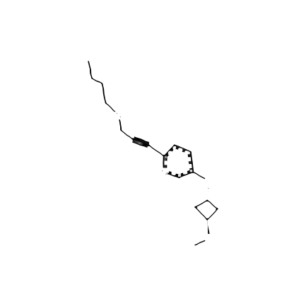 CCCCNCC#Cc1ccc(O[C@H]2C[C@H](OC)C2)cn1